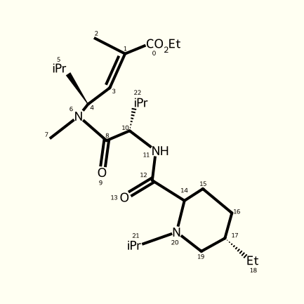 CCOC(=O)/C(C)=C/[C@H](C(C)C)N(C)C(=O)[C@@H](NC(=O)C1CC[C@H](CC)CN1C(C)C)C(C)C